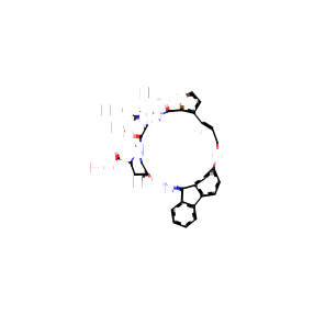 CC(C)(C)[C@@H]1NC(=O)c2sccc2/C=C/COc2ccc3c(c2)C(=NO[C@@H]2C[C@@H](C(=O)O)N(C2)C1=O)c1ccccc1-3